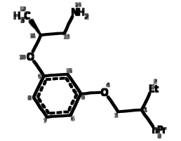 CCCC(CC)COc1cccc(O[C@@H](C)CN)c1